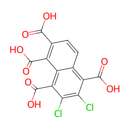 O=C(O)c1ccc2c(C(=O)O)c(Cl)c(Cl)c(C(=O)O)c2c1C(=O)O